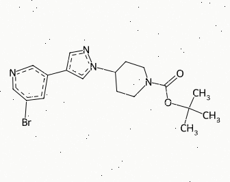 CC(C)(C)OC(=O)N1CCC(n2cc(-c3cncc(Br)c3)cn2)CC1